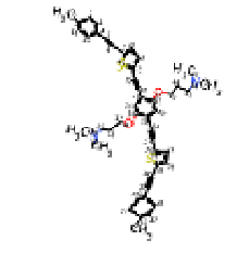 Cc1ccc(C#Cc2ccc(C#Cc3cc(OCCCN(C)C)c(C#Cc4ccc(C#Cc5ccc(C)cc5)s4)cc3OCCCN(C)C)s2)cc1